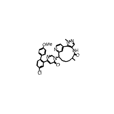 COc1ccc(-c2ccc(Cl)cc2-c2cc(=O)n(C3CCCC(C)C(=O)Nc4cnn(C)c4-c4ccnc3c4)cn2)cc1